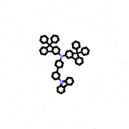 c1ccc(C2(c3ccccc3)c3ccccc3-c3cc(N(c4ccc(-c5cccc(-n6c7ccccc7c7ccccc76)c5)cc4)c4ccc5c(c4)-c4ccccc4C5(c4ccccc4)c4ccccc4)ccc32)cc1